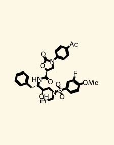 COc1ccc(S(=O)(=O)N(CC(C)C)C[C@@H](O)[C@H](Cc2ccccc2)NC(=O)[C@@H]2CN(c3ccc(C(C)=O)cc3)C(=O)O2)cc1F